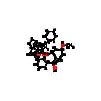 CC12CCC(C(=Cc3ccccc3)C1=O)C2(C)C.COc1ccc(C(=O)c2ccccc2)c(O)c1